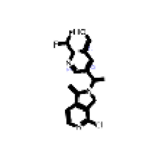 C=C1c2ccnc(Cl)c2CN1C(C)C(/C=N\CC(F)F)=C/C(C)=C/O